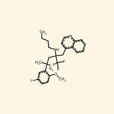 CCCCNC(Cc1ccnc2ccccc12)(CC(C)(C)c1cc(F)ccc1OC)C(F)(F)F